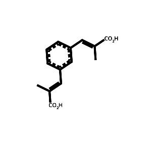 CC(=Cc1cccc(C=C(C)C(=O)O)c1)C(=O)O